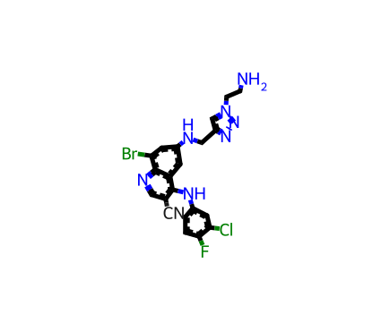 N#Cc1cnc2c(Br)cc(NCc3cn(CCN)nn3)cc2c1Nc1ccc(F)c(Cl)c1